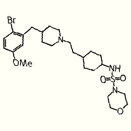 COc1ccc(Br)c(CC2CCN(CCC3CCC(NS(=O)(=O)N4CCOCC4)CC3)CC2)c1